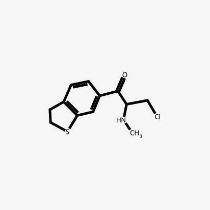 CNC(CCl)C(=O)c1ccc2c(c1)SCC2